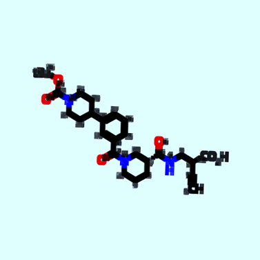 C#C[C@@H](CNC(=O)[C@@H]1CCCN(C(=O)c2cccc(C3CCN(C(=O)OC(C)(C)C)CC3)c2)C1)C(=O)O